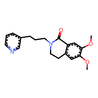 COc1cc2c(cc1OC)C(=O)N(CCCc1cccnc1)CC2